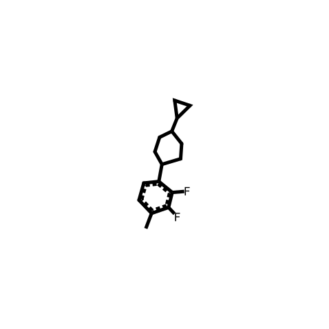 Cc1ccc(C2CCC(C3CC3)CC2)c(F)c1F